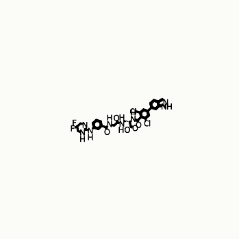 O=C(CNC(=O)c1cccc(NC2=NCC(F)(F)CN2)c1)NC[C@H](NC(=O)c1c(Cl)cc(-c2ccc3cn[nH]c3c2)cc1Cl)C(=O)O